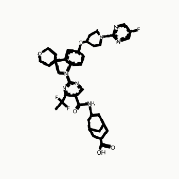 CC(F)(F)c1nc(N2CC3(CCOCC3)c3cc(OC4CCN(c5ncc(F)cn5)CC4)ccc32)ncc1C(=O)NC1CC2CC(C1)CC(C(=O)O)C2